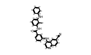 Cc1c(NC(=O)c2cccc(Nc3ccnc4ccc(C#N)cc34)c2)cccc1Nc1ccccc1